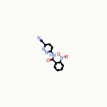 N#Cc1ccc(NC(=O)c2ccccc2[N+](=O)[O-])nn1